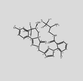 NC(CNC(=O)c1cccc(Cl)c1-n1cnc(Cn2nc(-c3ccc(Cl)cc3)n(C[C@H](O)C(F)(F)F)c2=O)n1)C(F)(F)F